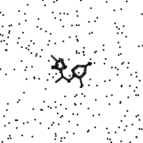 Cc1nnc(C(C)Oc2ccc(Br)cc2F)[nH]1